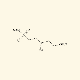 COS(=O)(=O)CCN(O)CCS(=O)(=O)O